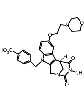 CN1C(=O)[C@H]2CN(Cc3c2c2cc(OCCN4CCOCC4)ccc2n3Cc2ccc(C(=O)O)cc2)C1=O